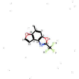 Cc1cc2oc(C(F)(F)F)nc2c2ccoc12